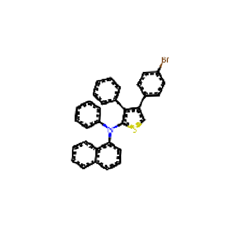 Brc1ccc(-c2csc(N(c3ccccc3)c3cccc4ccccc34)c2-c2ccccc2)cc1